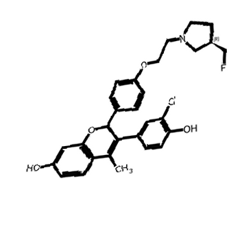 CC1=C(c2ccc(O)c(Cl)c2)C(c2ccc(OCCN3CC[C@@H](CF)C3)cc2)Oc2cc(O)ccc21